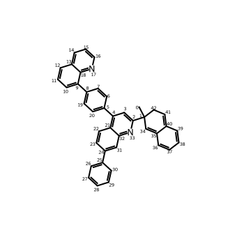 CC1(c2cc(-c3ccc(-c4cccc5cccnc45)cc3)c3ccc(-c4ccccc4)cc3n2)C=c2ccccc2=CC1